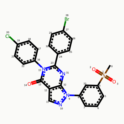 CS(=O)(=O)c1cccc(-n2ncc3c(=O)n(-c4ccc(Cl)cc4)c(-c4ccc(Br)cc4)nc32)c1